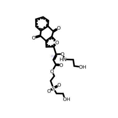 O=C(/C=C(\ONCCO)c1cc2c(o1)C(=O)c1ccccc1C2=O)OCCS(=O)(=O)CCO